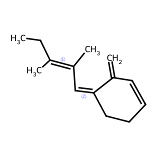 C=C1C=CCC/C1=C/C(C)=C(\C)CC